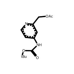 CC(=O)OCc1cc(NC(=O)OC(C)(C)C)ccn1